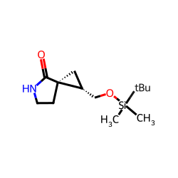 CC(C)(C)[Si](C)(C)OC[C@H]1C[C@@]12CCNC2=O